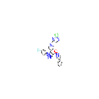 O=C(c1cnn(-c2ccc(F)cc2)c1C1CCN(Cc2ccnc(Cl)n2)CC1)N1CC[C@H](c2ccccc2)C1